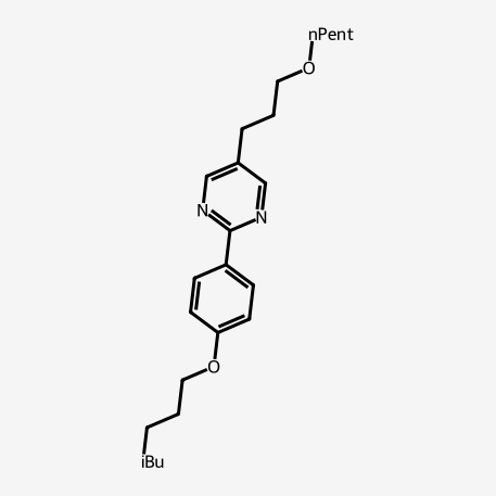 CCCCCOCCCc1cnc(-c2ccc(OCCCC(C)CC)cc2)nc1